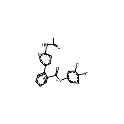 CC(=O)Nc1ccc(-c2c(C(=O)Nc3ccc(Cl)c(Cl)c3)c3ccc2o3)cn1